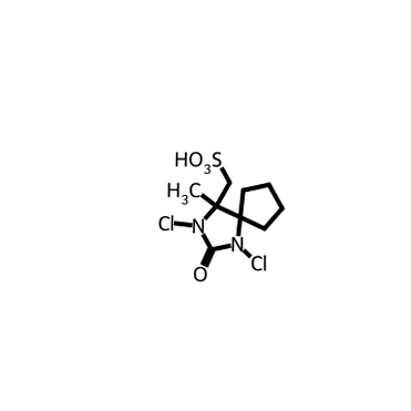 CC1(CS(=O)(=O)O)N(Cl)C(=O)N(Cl)C12CCCC2